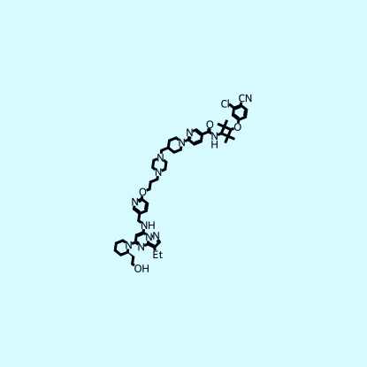 CCc1cnn2c(NCc3ccc(OCCCN4CCN(CC5CCN(c6ccc(C(=O)NC7C(C)(C)C(Oc8ccc(C#N)c(Cl)c8)C7(C)C)cn6)CC5)CC4)nc3)cc(N3CCCC[C@@H]3CCO)nc12